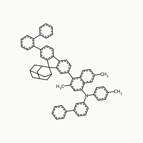 Cc1ccc(N(c2cccc(-c3ccccc3)c2)c2cc(C)c(-c3ccc4c(c3)C3(c5cc(-c6ccccc6-c6ccccc6)ccc5-4)C4CC5CC(C4)CC3C5)c3ccc(C)cc23)cc1